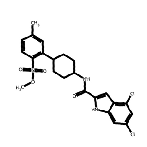 COS(=O)(=O)c1ccc(C)cc1C1CCC(NC(=O)c2cc3c(Cl)cc(Cl)cc3[nH]2)CC1